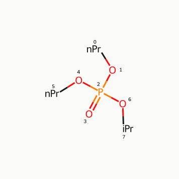 CCCOP(=O)(OCCC)OC(C)C